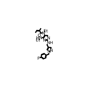 C/C=C(/C)C(=O)N(CC)c1cnc(NCc2cnn(Cc3ccc(F)cc3)c2)nc1NCC